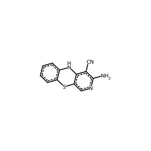 N#Cc1c(N)ncc2c1Nc1ccccc1S2